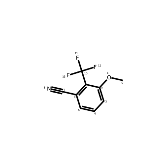 COc1cccc(C#N)c1C(F)(F)F